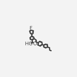 CCCc1ccc(-c2ccc(/C=C/c3cc(-c4ccc(F)cc4)ccc3C(=O)O)cc2)cc1